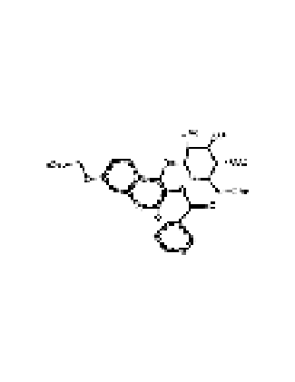 CCCCCCCCCCCOc1ccc2c(O[C@@H]3O[C@H](COC(C)=O)[C@@H](OC(C)=O)[C@H](OC(C)=O)[C@H]3OC(C)=O)c(OC(=O)c3ccccc3)c(=O)oc2c1